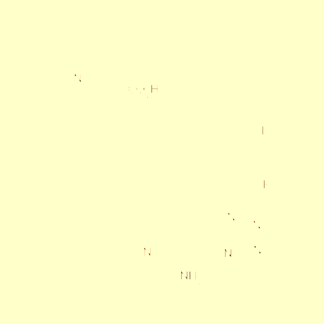 Nc1ncc(-c2ccc(C(CN3CCCC3)C(=O)O)cc2)cc1-c1nnnn1-c1cccc(F)c1F